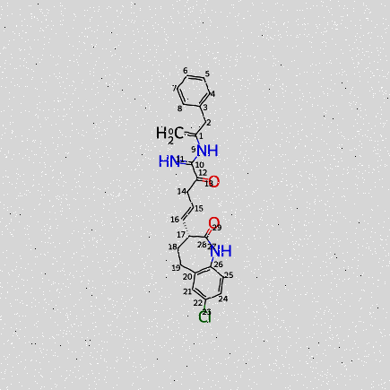 C=C(Cc1ccccc1)NC(=N)C(=O)C/C=C/[C@H]1CCc2cc(Cl)ccc2NC1=O